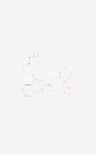 Cc1cccc2c(N3CCC(C(N)=O)C3)cc(N3CCS(O)(O)c4ccccc4C3)nc12